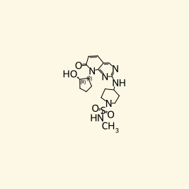 CNS(=O)(=O)N1CCC(Nc2ncc3ccc(=O)n([C@@H]4CCC[C@H]4O)c3n2)CC1